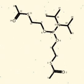 CC(=O)SCCOP(OCCSC(C)=O)N(C(C)C)C(C)C